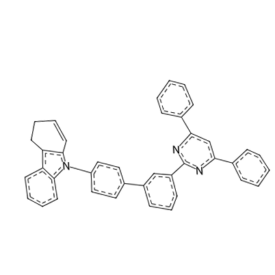 C1=Cc2c(c3ccccc3n2-c2ccc(-c3cccc(-c4nc(-c5ccccc5)cc(-c5ccccc5)n4)c3)cc2)CC1